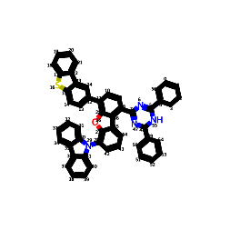 C1=CCCC(C2=NC(c3ccc(-c4ccc5sc6ccccc6c5c4)c4oc5c(-n6c7ccccc7c7ccccc76)cccc5c34)=NC(c3ccccc3)N2)=C1